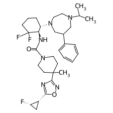 CC(C)N1CCN([C@H]2CCCC(F)(F)[C@@H]2NC(=O)N2CCC(C)(c3noc([C@@H]4C[C@@H]4F)n3)CC2)CC(c2ccccc2)C1